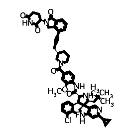 COc1cc(C(=O)N2CCC[C@@H](CC#Cc3cccc4c3CN([C@@H]3CCC(=O)NC3=O)C4=O)C2)ccc1NC(=O)[C@@H]1N[C@@H](CC(C)(C)C)[C@@]2(CNc3cc(C4CC4)ncc32)[C@H]1c1cccc(Cl)c1F